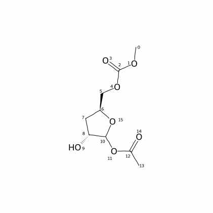 COC(=O)OC[C@@H]1C[C@@H](O)C(OC(C)=O)O1